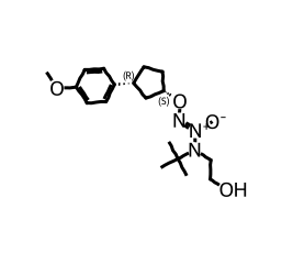 COc1ccc([C@@H]2CC[C@H](ON=[N+]([O-])N(CCO)C(C)(C)C)C2)cc1